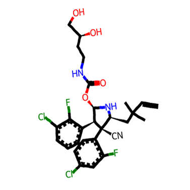 C=CC(C)(C)C[C@@H]1N[C@H](OC(=O)NCC[C@H](O)CO)[C@H](c2cccc(Cl)c2F)[C@@]1(C#N)c1ccc(Cl)cc1F